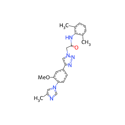 COc1cc(-c2cn(CC(=O)Nc3c(C)cccc3C)nn2)ccc1-n1cnc(C)c1